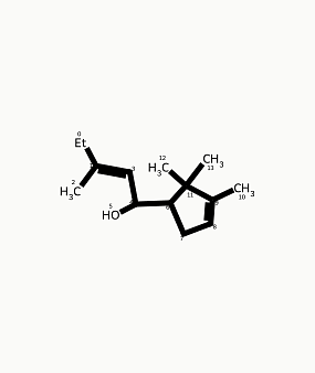 CCC(C)=CC(O)C1CC=C(C)C1(C)C